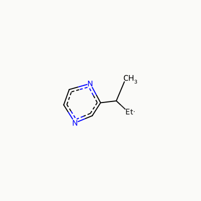 C[CH]C(C)c1cnccn1